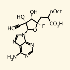 C#C[C@]1(O)[C@H](n2cnc3c(N)ncnc32)O[C@](F)(CC(CCCCCCCC)C(=O)O)[C@H]1O